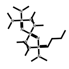 CCCC=P(N=P(N=P(N(C)C)(N(C)C)N(C)C)(N(C)C)N(C)C)(N(C)C)N(C)C